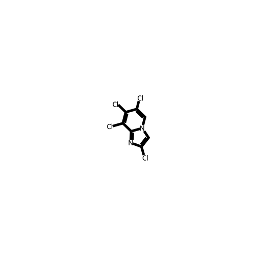 Clc1cn2cc(Cl)c(Cl)c(Cl)c2n1